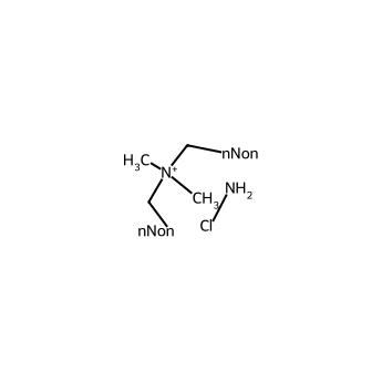 CCCCCCCCCC[N+](C)(C)CCCCCCCCCC.NCl